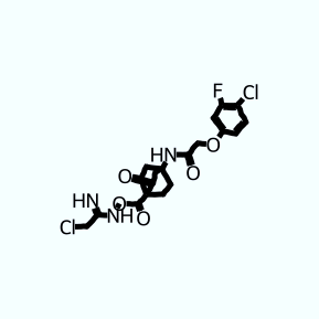 N=C(CCl)NOC(=O)C12CCC(NC(=O)COc3ccc(Cl)c(F)c3)(CC1)CC2=O